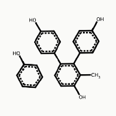 Cc1c(O)ccc(-c2ccc(O)cc2)c1-c1ccc(O)cc1.Oc1ccccc1